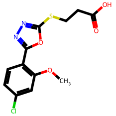 COc1cc(Cl)ccc1-c1nnc(SCCC(=O)O)o1